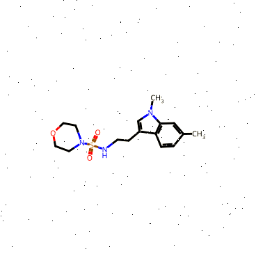 Cc1ccc2c(CCNS(=O)(=O)N3CCOCC3)cn(C)c2c1